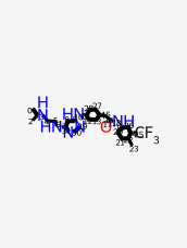 C=C(C)NCCNc1cc(Nc2ccc(CC(=O)Nc3ccc(C)c(C(F)(F)F)c3)cc2)ncn1